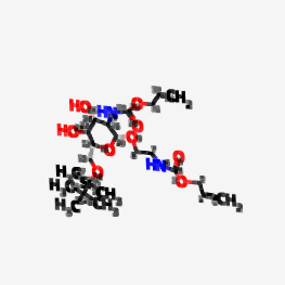 C=CCOC(=O)NCCO[C@@H]1O[C@H](CO[Si](C)(C)C(C)(C)C)[C@@H](O)[C@H](O)[C@H]1NC(=O)OCC=C